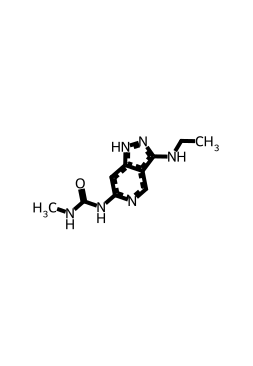 CCNc1n[nH]c2cc(NC(=O)NC)ncc12